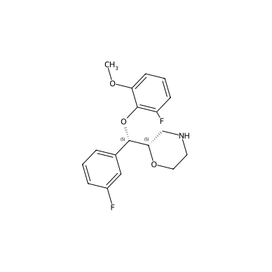 COc1cccc(F)c1O[C@@H](c1cccc(F)c1)[C@@H]1CNCCO1